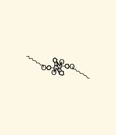 CCCCCCCCCCOc1ccc(-c2c(=O)n3c4ccccc4c4c(-c5ccc(OCCCCCCCCCC)cc5)c(=O)n5c6ccccc6c2c5c43)cc1